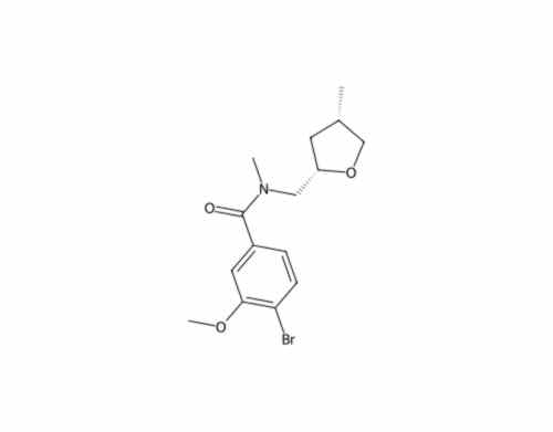 COc1cc(C(=O)N(C)C[C@@H]2C[C@H](C)CO2)ccc1Br